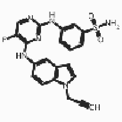 C#CCn1ccc2cc(Nc3nc(Nc4cccc(S(N)(=O)=O)c4)ncc3F)ccc21